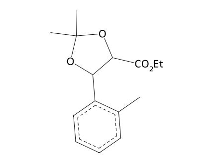 CCOC(=O)C1OC(C)(C)OC1c1ccccc1C